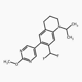 COc1ncc(-c2cc3c(cc2C(F)F)N(C(C)C)CCC3)cn1